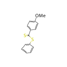 COc1ccc(C(=S)Sc2ccccc2)cc1